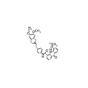 COc1cc2c(cc1OC)CN(CCc1ccc(NC(=O)c3cccc4c(=O)c5cccc(O[11CH3])c5[nH]c34)cc1)CC2